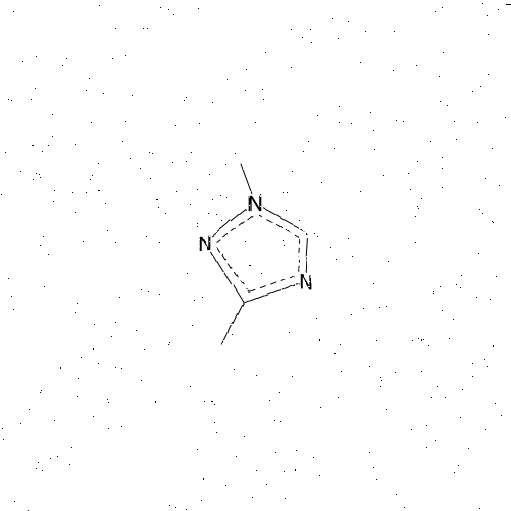 Cc1ncn(C)n1